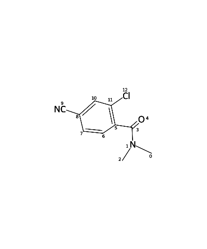 CN(C)C(=O)c1ccc(C#N)cc1Cl